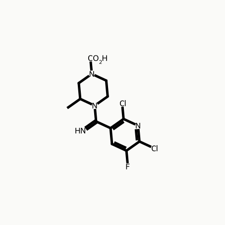 CC1CN(C(=O)O)CCN1C(=N)c1cc(F)c(Cl)nc1Cl